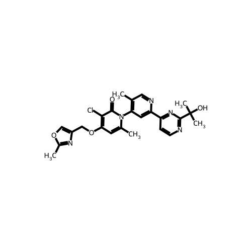 Cc1nc(COc2cc(C)n(-c3cc(-c4ccnc(C(C)(C)O)n4)ncc3C)c(=O)c2Cl)co1